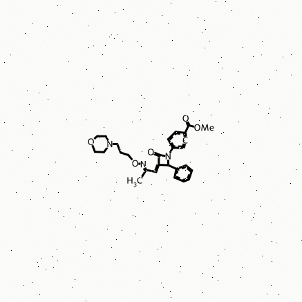 COC(=O)c1ccc(N2C(=O)C(=CC(C)=NOCCCN3CCOCC3)C2c2ccccc2)cc1